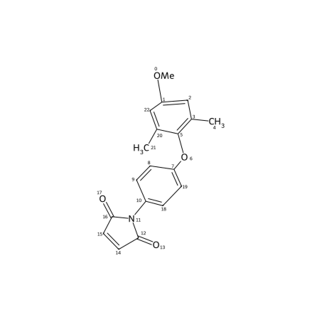 COc1cc(C)c(Oc2ccc(N3C(=O)C=CC3=O)cc2)c(C)c1